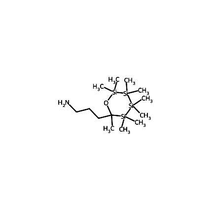 CC1(CCCN)O[Si](C)(C)[Si](C)(C)[Si](C)(C)[Si]1(C)C